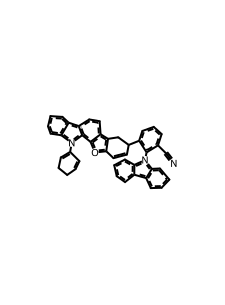 N#Cc1cccc(C2C=Cc3oc4c(ccc5c6ccccc6n(C6=CCCC=C6)c54)c3C2)c1-n1c2ccccc2c2ccccc21